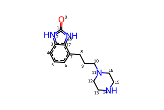 O=c1[nH]c2cccc(CCCN3CCNCC3)c2[nH]1